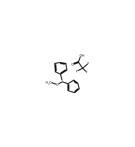 COI(c1ccccc1)c1ccccc1.O=C(O)C(F)(F)F